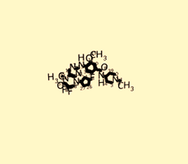 CCN1CCC(NC(=O)c2cc(OC)c(Nc3ncc4c(n3)N(C3CCCC3)CC(F)(F)C(=O)N4C)cc2F)CC1